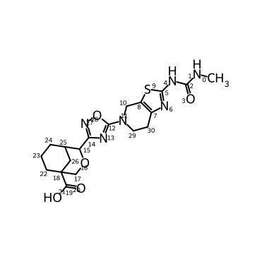 CNC(=O)Nc1nc2c(s1)CN(c1nc(C3OCC4(C(=O)O)CCCC3C4)no1)CC2